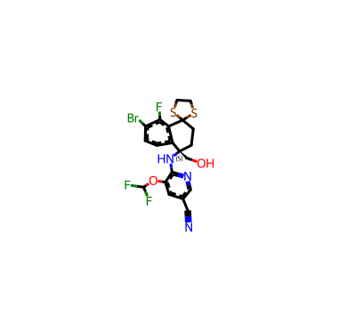 N#Cc1cnc(N[C@@]2(CO)CCC3(SCCS3)c3c2ccc(Br)c3F)c(OC(F)F)c1